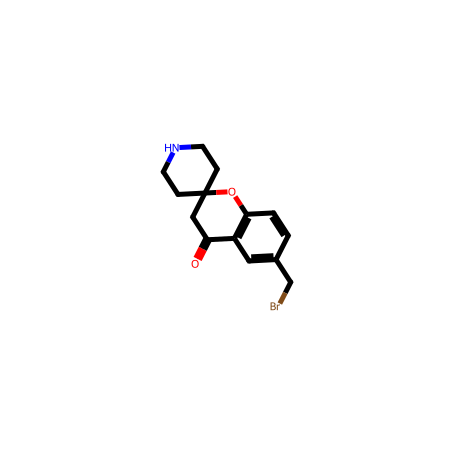 O=C1CC2(CCNCC2)Oc2ccc(CBr)cc21